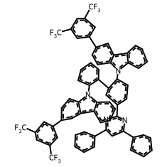 FC(F)(F)c1cc(-c2ccc3c(c2)c2ccccc2n3-c2ccccc2-c2cc(-c3nc(-c4ccccc4)cc(-c4ccccc4)n3)ccc2-n2c3ccccc3c3cc(-c4cc(C(F)(F)F)cc(C(F)(F)F)c4)ccc32)cc(C(F)(F)F)c1